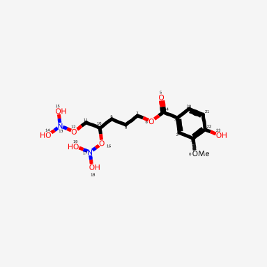 COc1cc(C(=O)OCCCC(CON(O)O)ON(O)O)ccc1O